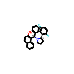 Oc1ccc2ccccc2c1[C@@H](c1ccccc1)N1CCC[C@@H]1c1cc(F)ccc1F